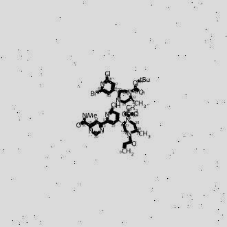 C=CC(=O)N1C[C@H](c2cc(Cl)nc(-c3cc(C(=O)NC)ncn3)c2)N(S(C)(=O)=O)C[C@H]1C.C[C@H]1CN[C@H](c2cc(Cl)nc(Br)c2)CN1C(=O)OC(C)(C)C